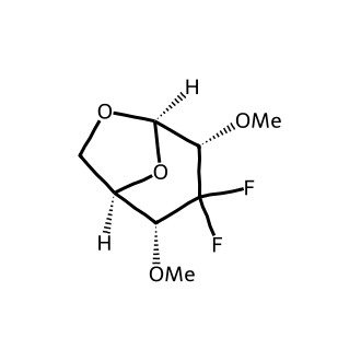 CO[C@@H]1[C@H]2CO[C@H](O2)[C@H](OC)C1(F)F